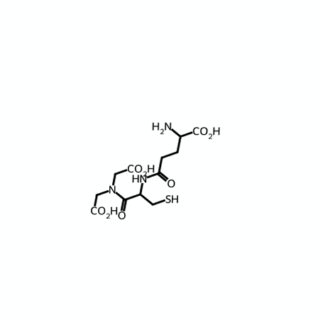 NC(CCC(=O)NC(CS)C(=O)N(CC(=O)O)CC(=O)O)C(=O)O